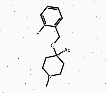 CC(=O)C1(OCc2ccccc2F)CCN(C)CC1